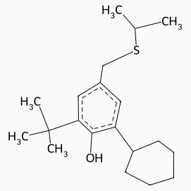 CC(C)SCc1cc(C2CCCCC2)c(O)c(C(C)(C)C)c1